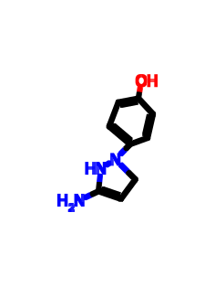 NC1=CCN(c2ccc(O)cc2)N1